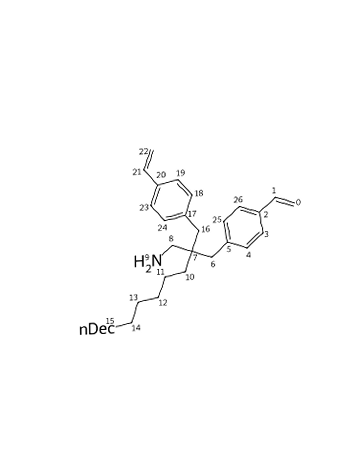 C=Cc1ccc(CC(CN)(CCCCCCCCCCCCCCC)Cc2ccc(C=C)cc2)cc1